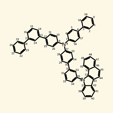 c1ccc(-c2ccc(N(c3ccc(-c4cccc(-c5ccccc5)c4)cc3)c3ccc(-c4cccc(-n5c6ccccc6c6ccc7ccccc7c65)c4)cc3)cc2)cc1